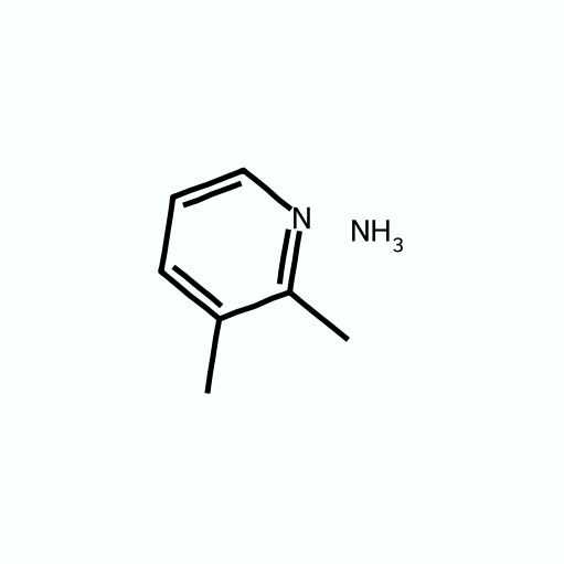 Cc1cccnc1C.N